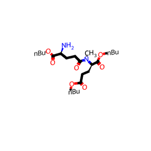 CCCCOC(=O)CC[C@H](C(=O)OCCCC)N(C)C(=O)CC[C@H](N)C(=O)OCCCC